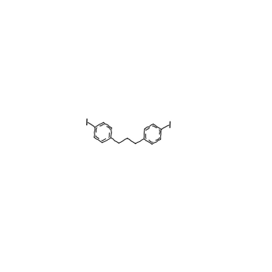 Ic1ccc(CCCc2ccc(I)cc2)cc1